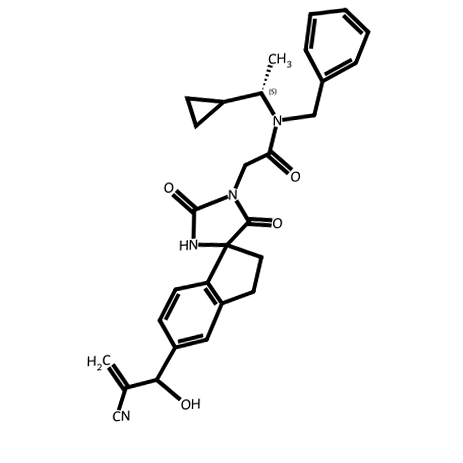 C=C(C#N)C(O)c1ccc2c(c1)CCC21NC(=O)N(CC(=O)N(Cc2ccccc2)[C@@H](C)C2CC2)C1=O